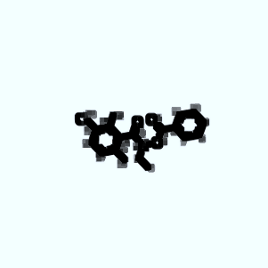 CCN(OC(=O)c1ccccc1)C(=O)c1c(C)ccc(Cl)c1C